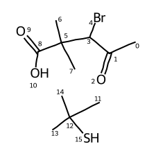 CC(=O)C(Br)C(C)(C)C(=O)O.CC(C)(C)S